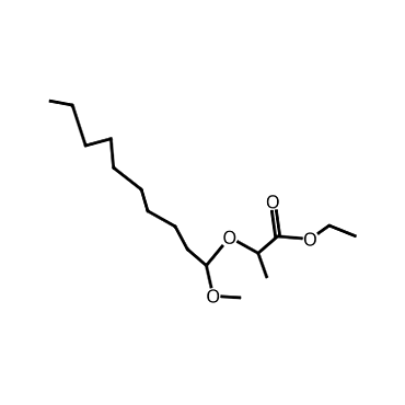 CCCCCCCCCC(OC)OC(C)C(=O)OCC